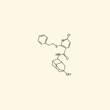 O=C(NC1C2CC3CC1CC(O)(C3)C2)c1ccc(Cl)nc1SCCc1ccccc1